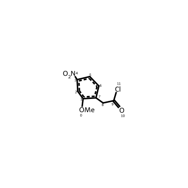 COc1cc([N+](=O)[O-])ccc1CC(=O)Cl